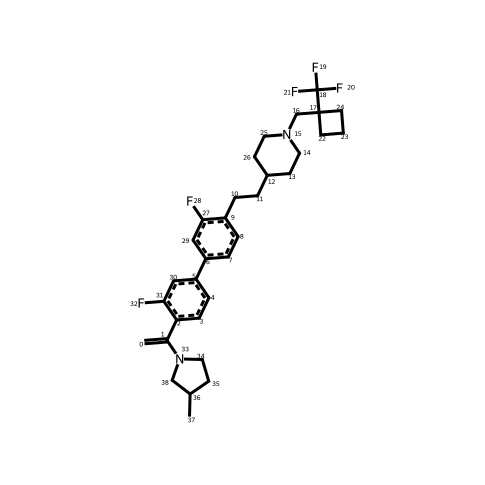 C=C(c1ccc(-c2ccc(CCC3CCN(CC4(C(F)(F)F)CCC4)CC3)c(F)c2)cc1F)N1CCC(C)C1